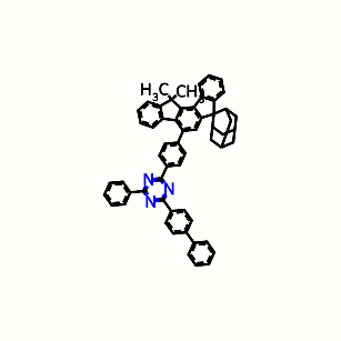 CC1(C)c2ccccc2-c2c(-c3ccc(-c4nc(-c5ccccc5)nc(-c5ccc(-c6ccccc6)cc5)n4)cc3)cc3c(c21)-c1ccccc1C31C2CC3CC(C2)CC1C3